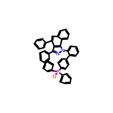 O=P(c1ccccc1)(c1ccccc1)c1ccc(-c2ccccc2-n2nc(-c3ccccc3)c3c(-c4ccccc4)cc4ccccc4c32)cc1